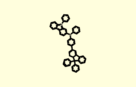 c1ccc(C2(c3ccccc3)c3ccccc3C3=CC(c4ccc(N(c5ccccc5)c5ccc6c7ccccc7n(-c7ccccc7)c6c5)cc4)=CCC32)cc#1